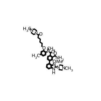 COc1c(-c2cccc3[nH]c(N4CCN(C)CC4)nc23)ccc(C(=O)N(C)c2ccc(C)cc2OCCCCCC(=O)N2CCN(C)CC2)c1C(N)=O